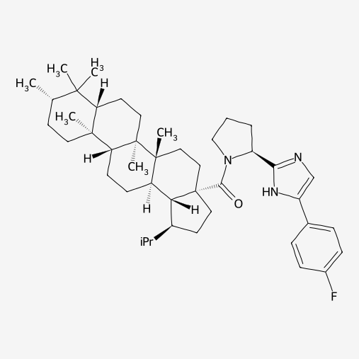 CC(C)[C@@H]1CC[C@]2(C(=O)N3CCC[C@H]3c3ncc(-c4ccc(F)cc4)[nH]3)CC[C@]3(C)[C@H](CC[C@@H]4[C@@]5(C)CC[C@H](C)C(C)(C)[C@@H]5CC[C@]43C)[C@@H]12